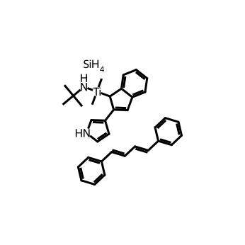 C(C=Cc1ccccc1)=Cc1ccccc1.CC(C)(C)[NH][Ti]([CH3])([CH3])[CH]1C(c2cc[nH]c2)=Cc2ccccc21.[SiH4]